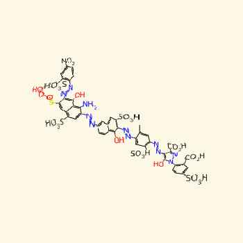 Cc1cc(N=Nc2c(C(=O)O)nn(-c3ccc(S(=O)(=O)O)cc3C(=O)O)c2O)c(S(=O)(=O)O)cc1N=Nc1c(S(=O)(=O)O)cc2cc(N=Nc3cc(S(=O)(=O)O)c4cc(SOOO)c(N=Nc5ccc([N+](=O)[O-])cc5S(=O)(=O)O)c(O)c4c3N)ccc2c1O